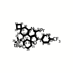 CC(C)c1nc2c(c3c1[C@@H](c1ccc(C(F)(F)F)nc1)OC31CCOCC1)[C@@H](O[Si](C)(C)C(C)(C)C)CC1([CH]2)CCC1